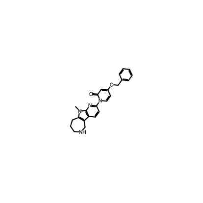 Cn1c2c(c3ccc(-n4ccc(OCc5ccccc5)cc4=O)nc31)CNCCC2